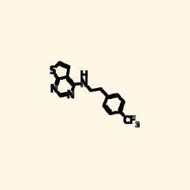 FC(F)(F)c1ccc(CCNc2ncnc3sccc23)cc1